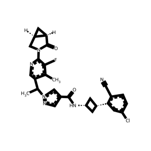 Cc1c(C(C)n2cc(C(=O)N[C@H]3C[C@@H](c4cc(Cl)ccc4C#N)C3)cn2)cnc(N2C[C@H]3C[C@H]3C2=O)c1F